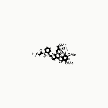 C=CC(=O)N[C@H]1CCCC[C@H]1Nc1ncc2c(n1)N(C/C(=C/SC)N=C)C(=O)N(c1c(Cl)c(OC)cc(OC)c1Cl)C2